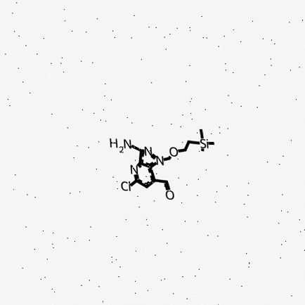 C[Si](C)(C)CCOCn1nc(N)c2nc(Cl)cc(C=O)c21